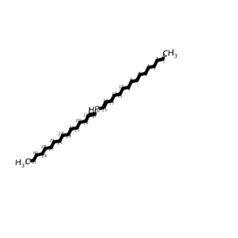 CCCCCCCCCCCCCCC=CPC=CCCCCCCCCCCCCCC